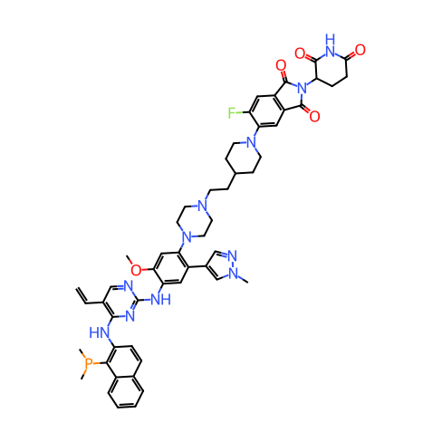 C=Cc1cnc(Nc2cc(-c3cnn(C)c3)c(N3CCN(CCC4CCN(c5cc6c(cc5F)C(=O)N(C5CCC(=O)NC5=O)C6=O)CC4)CC3)cc2OC)nc1Nc1ccc2ccccc2c1P(C)C